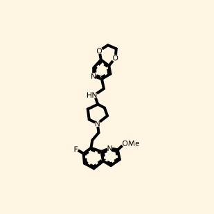 COc1ccc2ccc(F)c(CCN3CCC(NCc4cc5c(cn4)OCCO5)CC3)c2n1